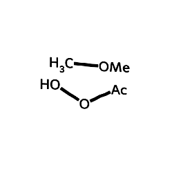 CC(=O)OO.COC